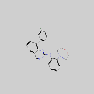 Fc1cccc(-c2cccc3cnc(Nc4ccccc4N4CCOCC4)nc23)c1